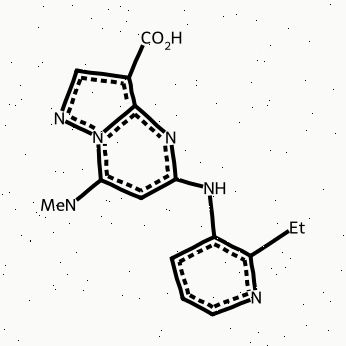 CCc1ncccc1Nc1cc(NC)n2ncc(C(=O)O)c2n1